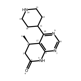 C[C@@H]1CC(=O)Nc2ncnc(C3CCNCC3)c21